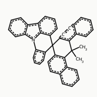 CC1(C)c2c(ccc3ccccc23)C2(c3ccccc3-n3c4ccccc4c4cccc2c43)c2ccc3ccccc3c21